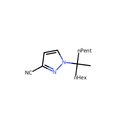 CCCCCCC(C)(CCCCC)n1ccc(C#N)n1